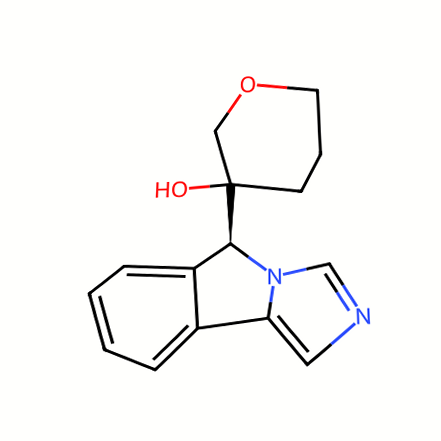 OC1([C@@H]2c3ccccc3-c3cncn32)CCCOC1